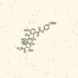 COc1ccc(OC(=O)Nc2ccc(O)c3c2C[C@H]2C[C@H]4CC(O)C(C(N)=O)C(=O)[C@@]4(O)C(O)=C2C3=O)cc1